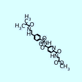 COC(=O)CNC(=O)c1ccc(C(=O)NS(=O)(=O)c2ccc(CCNC(=O)C(C)C)cc2)cn1